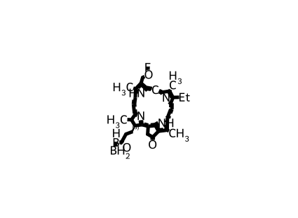 BBC(=O)CC[C@@H]1c2nc(cc3[nH]c(cc4nc(cc5[nH]c6c2CC(=O)c6c5C)C(CC)=C4C)c(COF)c3C)C1C